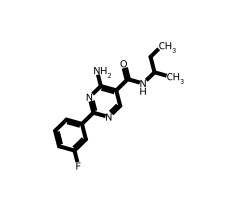 CCC(C)NC(=O)c1cnc(-c2cccc(F)c2)nc1N